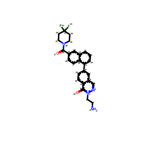 NCCn1ncc2cc(-c3cccc4cc(C(=O)N5CCC(F)(F)CC5)ccc34)ccc2c1=O